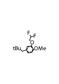 COc1ccc(CC(C)(C)C)cc1OCC(F)F